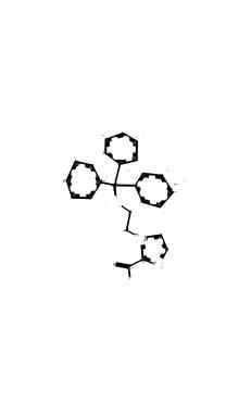 O=C(O)c1nccn1CCSC(c1ccccc1)(c1ccccc1)c1ccccc1.[LiH]